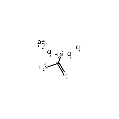 NC(N)=O.[Cl-].[Cl-].[Cl-].[Cl-].[Zr+4]